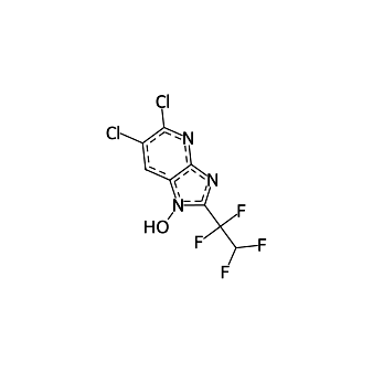 On1c(C(F)(F)C(F)F)nc2nc(Cl)c(Cl)cc21